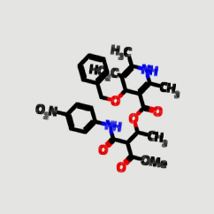 COC(=O)C(C(=O)Nc1ccc([N+](=O)[O-])cc1)C(C)OC(=O)C1=C(C)NC(C)=C(C(=O)O)C1OCc1ccccc1